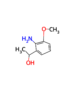 COc1cccc(C(C)O)c1N